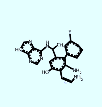 CC(Nc1ncnc2[nH]cnc12)c1cc(O)c(/C=C\N)c(N)c1-c1cccc(F)c1